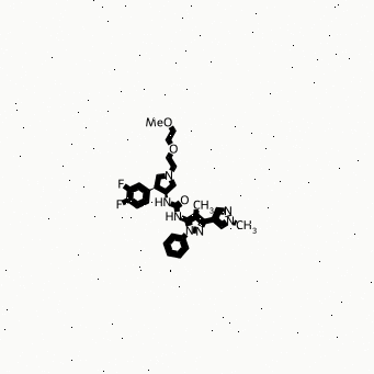 COCCOCCN1C[C@@H](NC(=O)Nc2c(C)c(-c3cnn(C)c3)nn2-c2ccccc2)[C@H](c2ccc(F)c(F)c2)C1